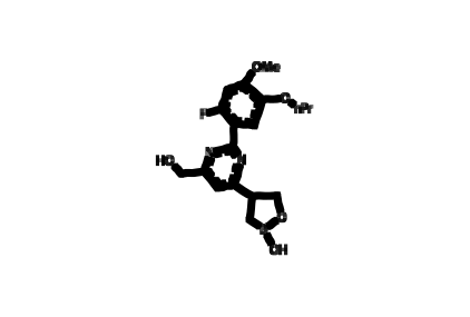 CCCOc1cc(-c2nc(CO)cc(C3COB(O)C3)n2)c(F)cc1OC